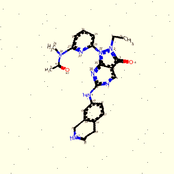 CCn1c(=O)c2cnc(Nc3ccc4c(c3)CNCC4)nc2n1-c1cccc(N(C)C(C)=O)n1